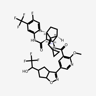 COc1ncc(C2=NOC3CC(C(O)C(F)(F)F)CC23)cc1C(=O)N[C@H]1[C@@H](C(=O)Nc2ccc(F)c(C(F)(F)F)c2)[C@H]2CC[C@@H]1/C2=C\C1CC1